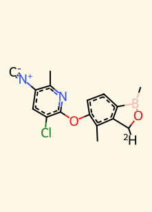 [2H]C1OB(C)c2ccc(Oc3nc(C)c([N+]#[C-])cc3Cl)c(C)c21